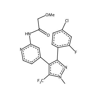 COCC(=O)Nc1cc(-c2c(-c3ccc(Cl)cc3F)nn(C)c2C(F)(F)F)ccn1